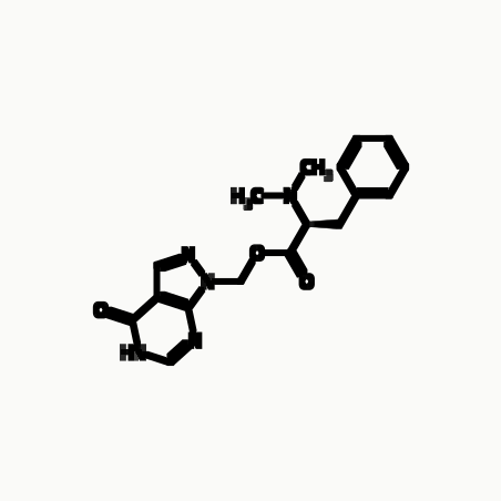 CN(C)[C@@H](Cc1ccccc1)C(=O)OCn1ncc2c(=O)[nH]cnc21